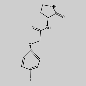 O=C(COc1ccc(I)cc1)N[C@H]1CCNC1=O